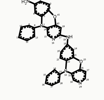 Nc1ccc2c(c1)N(c1ccccc1)c1cnc(Nc3ccc4c(c3)Oc3ccncc3N4c3ccccc3)cc1O2